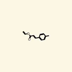 C=COC(=O)C=Cc1ccc(C)cc1